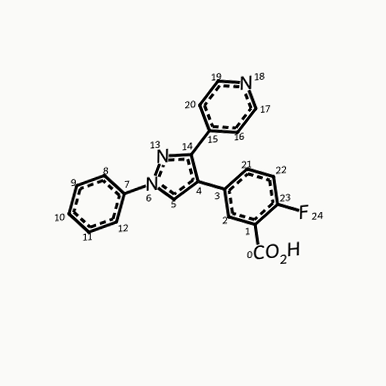 O=C(O)c1cc(-c2cn(-c3ccccc3)nc2-c2ccncc2)ccc1F